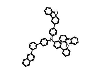 c1cc(-c2ccc(N(c3ccc(-c4ccc5oc6ccccc6c5c4)cc3)c3ccc(-c4ccccc4-n4c5ccccc5c5ccccc54)cc3)cc2)cc(-c2ccc3ccccc3c2)c1